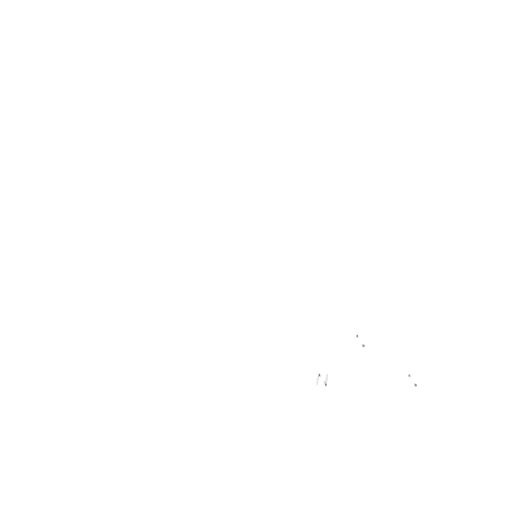 c1ccc(-n2c(-c3cc(-c4cc5ccccc5c5ccccc45)cc(-c4cc5ccccc5c5ccccc45)c3)nc3cccnc32)cc1